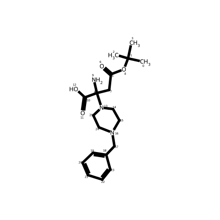 CC(C)(C)OC(=O)CC(N)(C(=O)O)N1CCN(Cc2ccccc2)CC1